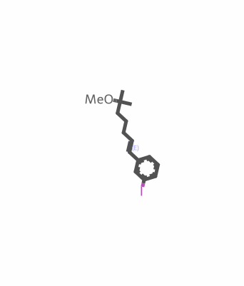 COC(C)(C)CCC/C=C/c1cccc(I)c1